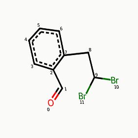 O=Cc1ccccc1CC(Br)Br